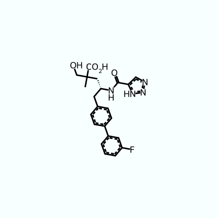 CC(CO)(C[C@@H](Cc1ccc(-c2cccc(F)c2)cc1)NC(=O)c1cnn[nH]1)C(=O)O